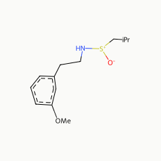 COc1cccc(CCN[S+]([O-])CC(C)C)c1